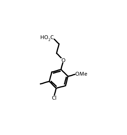 COc1cc(Cl)c(C)cc1OCCC(=O)O